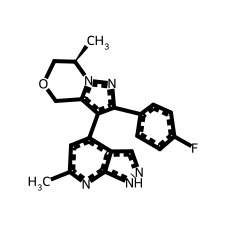 Cc1cc(-c2c(-c3ccc(F)cc3)nn3c2COC[C@H]3C)c2cn[nH]c2n1